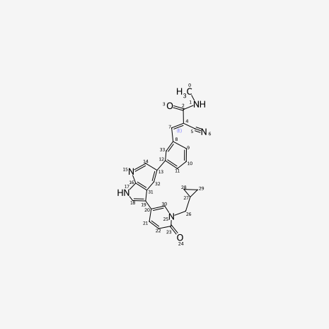 CNC(=O)/C(C#N)=C/c1cccc(-c2cnc3[nH]cc(-c4ccc(=O)n(CC5CC5)c4)c3c2)c1